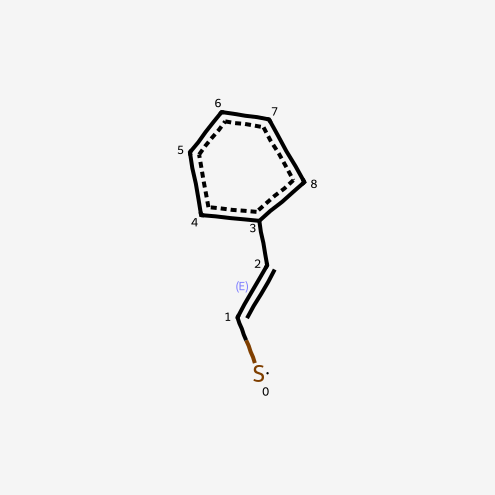 [S]/C=C/c1ccccc1